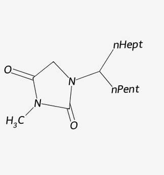 CCCCCCCC(CCCCC)N1CC(=O)N(C)C1=O